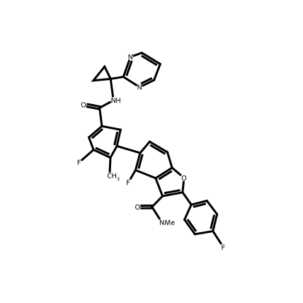 CNC(=O)c1c(-c2ccc(F)cc2)oc2ccc(-c3cc(C(=O)NC4(c5ncccn5)CC4)cc(F)c3C)c(F)c12